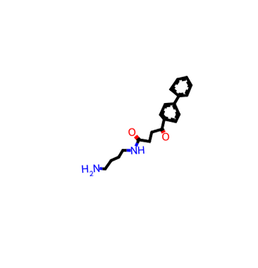 NCCCCNC(=O)CCC(=O)c1ccc(-c2ccccc2)cc1